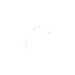 CCCC[C@H](C)CCCC1CCC(=O)O1